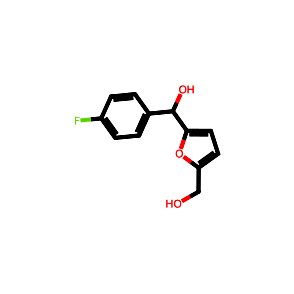 OCc1ccc(C(O)c2ccc(F)cc2)o1